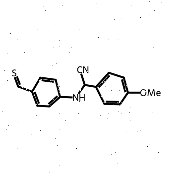 COc1ccc(C(C#N)Nc2ccc(C=S)cc2)cc1